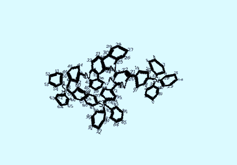 c1ccc([Si](c2ccccc2)(c2ccccc2)c2ccc(-c3cc(-n4c5ccccc5c5ccc6c(c7ccccc7n6-c6cccc([Si](c7ccccc7)(c7ccccc7)c7ccccc7)c6)c54)nc(-c4ccc([Si](c5ccccc5)(c5ccccc5)c5ccccc5)cc4)n3)cc2)cc1